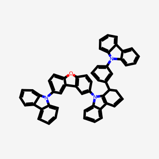 C1=Cc2c(n(-c3ccc4oc5ccc(-n6c7ccccc7c7ccccc76)cc5c4c3)c3ccccc23)C(c2cccc(-n3c4ccccc4c4ccccc43)c2)C1